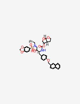 CC(C)CN(C[C@@H](O)[C@H](Cc1ccc(OCc2ccc3ccccc3c2)cc1)NC(=O)O[C@H]1CO[C@H]2OCC[C@H]21)S(=O)(=O)c1ccc2c(c1)OCO2